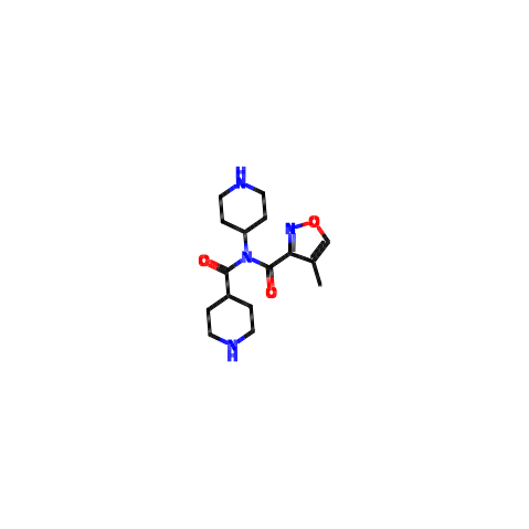 Cc1conc1C(=O)N(C(=O)C1CCNCC1)C1CCNCC1